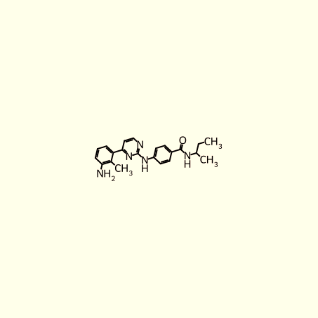 CCC(C)NC(=O)c1ccc(Nc2nccc(-c3cccc(N)c3C)n2)cc1